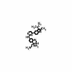 CC(C)c1c2cc(-c3ccnc(Nc4ccc5c(c4)N=CNC5(N)CCN)n3)ccc2nn1C